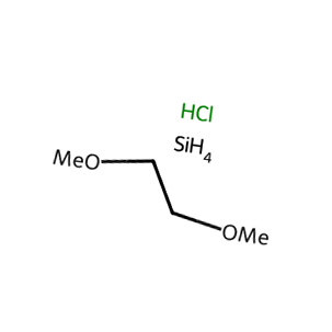 COCCOC.Cl.[SiH4]